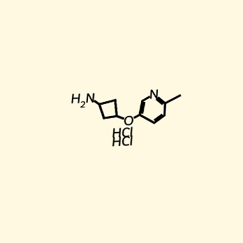 Cc1ccc(OC2CC(N)C2)cn1.Cl.Cl